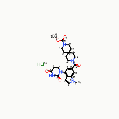 CC(C)n1ccc2c(N3CCC(=O)NC3=O)cc(C(=O)N3CCC4(CCN(C(=O)OC(C)(C)C)CC4)CC3)cc21.Cl